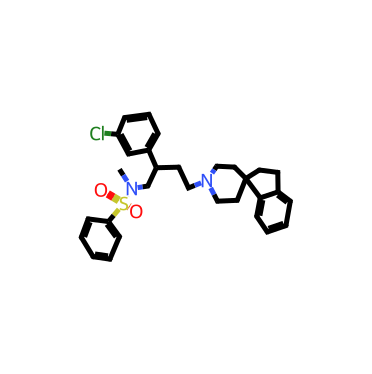 CN(CC(CCN1CCC2(CCc3ccccc32)CC1)c1cccc(Cl)c1)S(=O)(=O)c1ccccc1